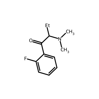 CCC(C(=O)c1ccccc1F)N(C)C